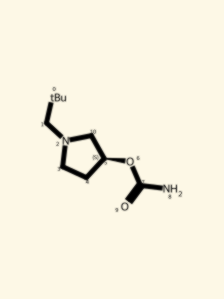 CC(C)(C)CN1CC[C@H](OC(N)=O)C1